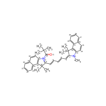 CN1/C(=C/C=C/C=C/C2=[N+](C(=O)C(C)(C)C)c3ccc4ccccc4c3C2(C)C)C(C)(C)c2c1ccc1ccccc21